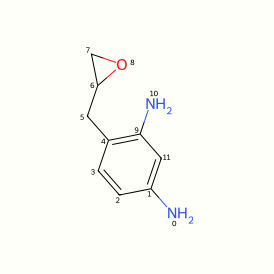 Nc1ccc(CC2CO2)c(N)c1